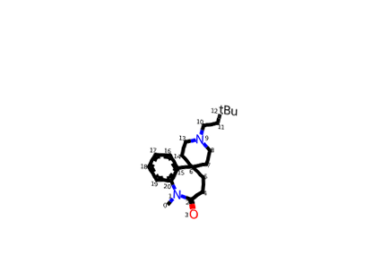 CN1C(=O)CCC2(CCN(CCC(C)(C)C)CC2)c2ccccc21